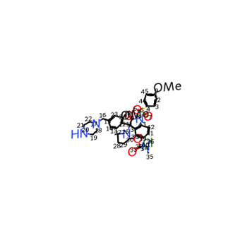 COc1ccc(S(=O)(=O)N2C(=O)C(c3ccc(CN4CCNCC4)cc3OC)(N3CCCC3OC(=O)N(C)C)c3cc(Cl)ccc32)cc1